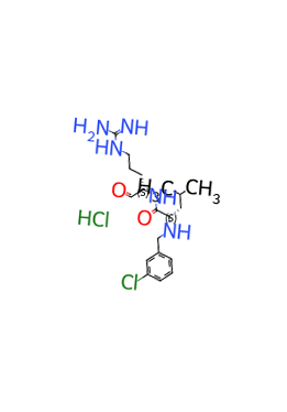 CC(C)C[C@H](NCc1cccc(Cl)c1)C(=O)N[C@H](C=O)CCCNC(=N)N.Cl